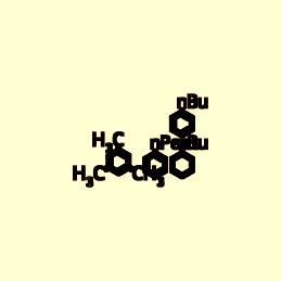 CCCCC1CCCCC1.CCCCCc1ccccc1.CCCCc1ccccc1.Cc1cc(C)cc(C)c1